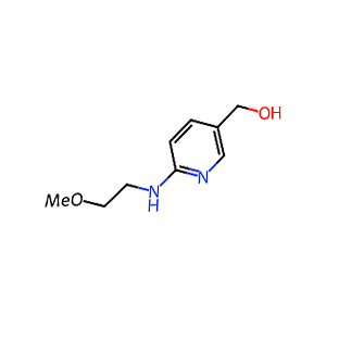 COCCNc1ccc(CO)cn1